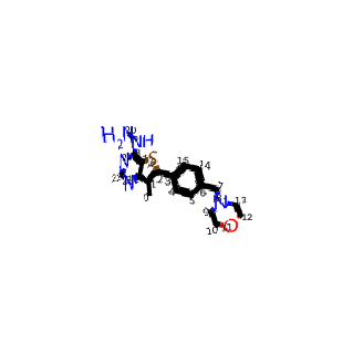 Cc1c(-c2ccc(CN3CCOCC3)cc2)sc2c(NN)ncnc12